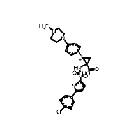 CN1CCN(c2ccc([C@H]3CC3(NS(=O)(=O)c3ccc(-c4ccc(Cl)cc4)s3)C(=O)O)cc2)CC1